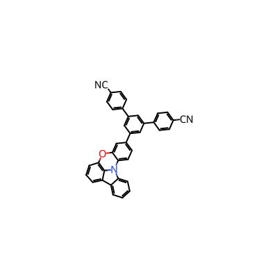 N#Cc1ccc(-c2cc(-c3ccc(C#N)cc3)cc(-c3ccc4c(c3)Oc3cccc5c6ccccc6n-4c35)c2)cc1